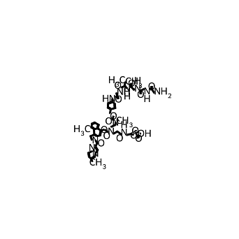 Cc1ccc2nc(C(=O)N3CCc4c3cc(OC(=O)N(CCC(=O)NCCOS(=O)(=O)O)CCN(C)C(=O)OCc3ccc(NC(=O)CNC(=O)C(NC(=O)CNC(=O)CNC(=O)CN)C(C)C)cc3)c3cccc(C)c43)cn2c1